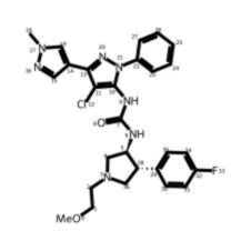 COCCN1C[C@@H](NC(=O)Nc2c(Cl)c(-c3cnn(C)c3)nn2-c2ccccc2)[C@H](c2ccc(F)cc2)C1